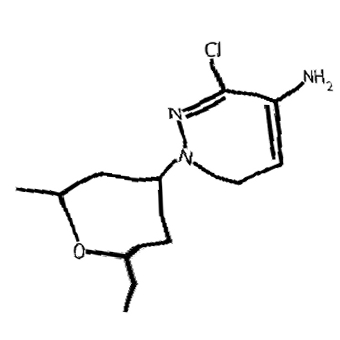 CC1CC(N2CC=C(N)C(Cl)=N2)CC(C)O1